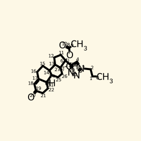 CCCn1cc([C@]2(OC(C)=O)CCC3C4CCC5=CC(=O)CC[C@@H]5C4CC[C@@]32C)nn1